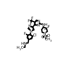 CCNCc1cc(F)c(-n2cnc(-c3nc(N[C@@H]4CCN(S(C)(=O)=O)C[C@H]4F)ncc3C(F)(F)F)c2)c(Cl)c1